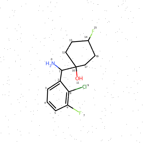 NC(c1cccc(F)c1Cl)C1(O)CCC(F)CC1